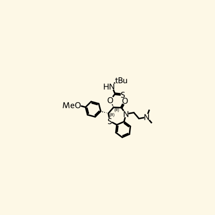 COc1ccc([C@H]2Sc3ccccc3N(CCN(C)C)C(=O)[C@H]2OC(=S)NC(C)(C)C)cc1